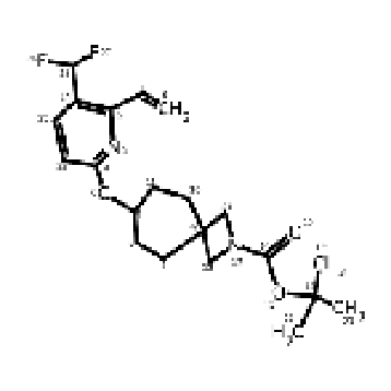 C=Cc1nc(OC2CCC3(CC2)CN(C(=O)OC(C)(C)C)C3)ccc1C(F)F